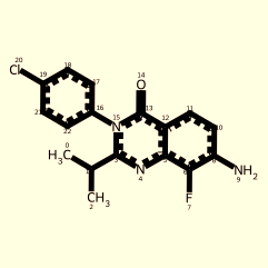 CC(C)c1nc2c(F)c(N)ccc2c(=O)n1-c1ccc(Cl)cc1